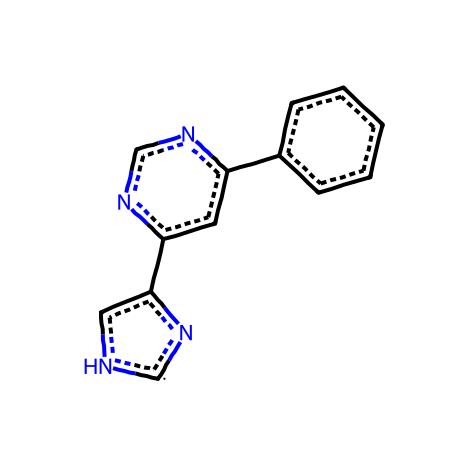 [c]1nc(-c2cc(-c3ccccc3)ncn2)c[nH]1